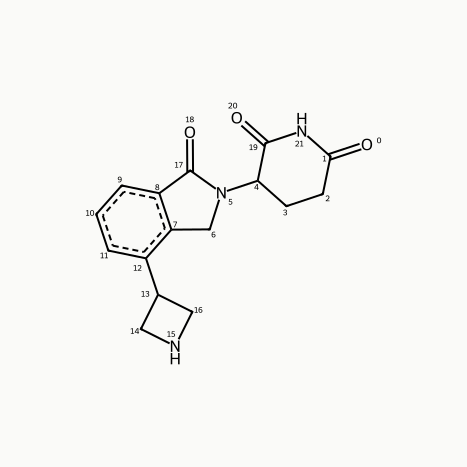 O=C1CCC(N2Cc3c(cccc3C3CNC3)C2=O)C(=O)N1